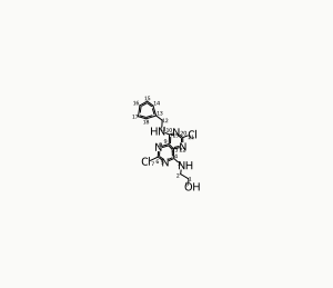 OCCNc1nc(Cl)nc2c(NCc3ccccc3)nc(Cl)nc12